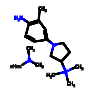 CCCCCCN(C)C.Cc1cc(N2CCC([N+](C)(C)C)C2)ccc1N